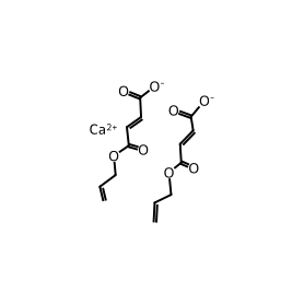 C=CCOC(=O)C=CC(=O)[O-].C=CCOC(=O)C=CC(=O)[O-].[Ca+2]